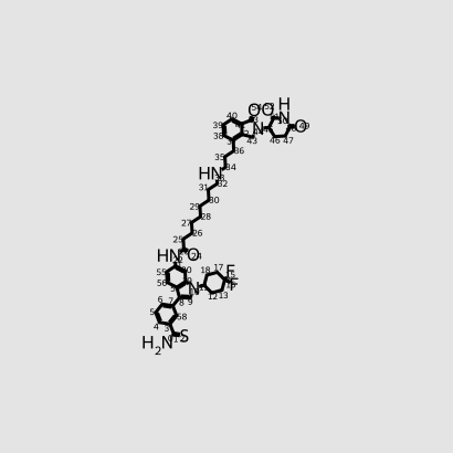 NC(=S)c1cccc(-c2cn(C3CCC(F)(F)CC3)c3cc(NC(=O)CCCCCCCCNCCCc4cccc5c4CN(C4CCC(=O)NC4=O)C5=O)ccc23)c1